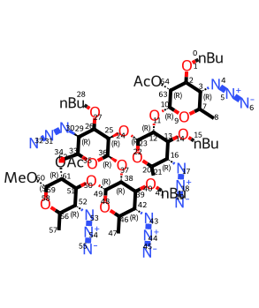 CCCCOC1[C@H](N=[N+]=[N-])C(C)O[C@H](O[C@@H]2C(OCCCC)[C@H](N=[N+]=[N-])C(C)O[C@@H]2O[C@@H]2C(OCCCC)[C@H](N=[N+]=[N-])C(C)O[C@@H]2O[C@@H]2C(OCCCC)[C@H](N=[N+]=[N-])C(C)O[C@@H]2OC2[C@H](N=[N+]=[N-])C(C)O[C@H](OC)[C@@H]2OC(C)=O)[C@@H]1OC(C)=O